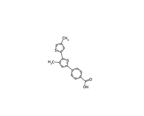 Cc1csc(-c2sc(-c3ccc(C(=O)O)cc3)cc2C)c1